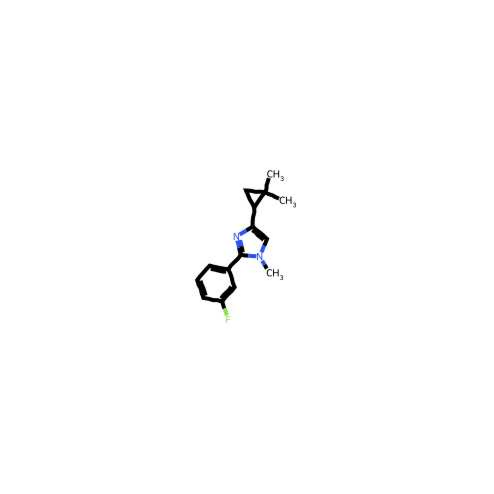 Cn1cc(C2CC2(C)C)nc1-c1cccc(F)c1